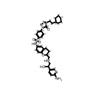 Nc1ccc(C(O)CNCC2CCc3cc(NS(=O)(=O)c4ccc(-n5nnn(CCC6CCCCC6)c5=O)cc4)ccc3O2)cn1